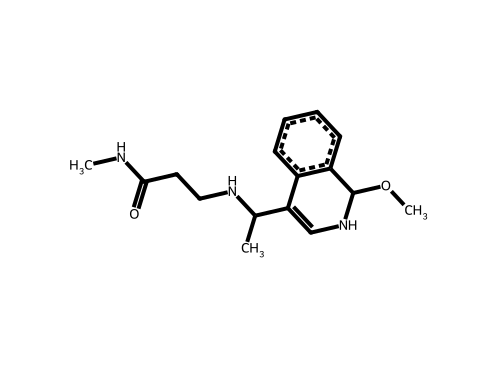 CNC(=O)CCNC(C)C1=CNC(OC)c2ccccc21